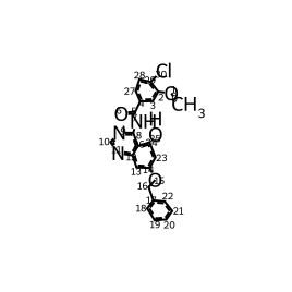 COc1cc(C(=O)Nc2ncnc3cc(OCc4ccccc4)cc(O)c23)ccc1Cl